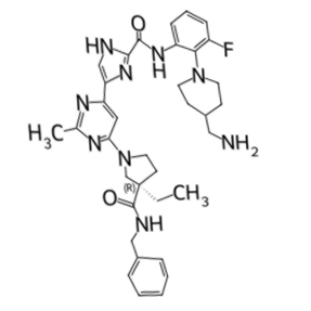 CC[C@@]1(C(=O)NCc2ccccc2)CCN(c2cc(-c3c[nH]c(C(=O)Nc4cccc(F)c4N4CCC(CN)CC4)n3)nc(C)n2)C1